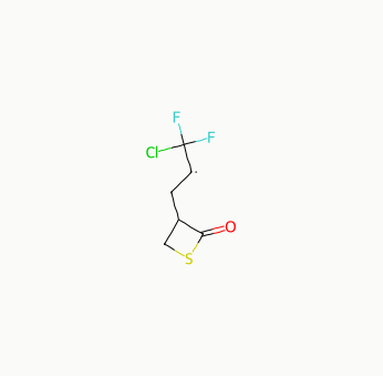 O=C1SCC1C[CH]C(F)(F)Cl